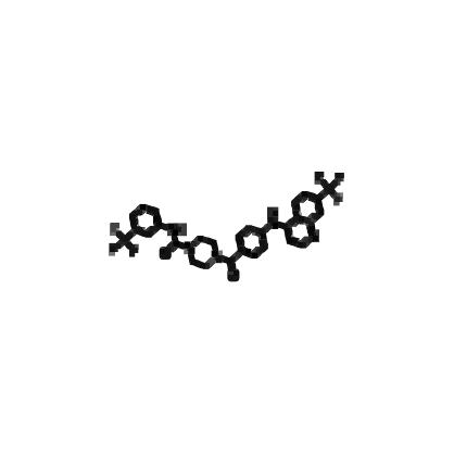 O=C(Nc1cccc(C(F)(F)F)c1)N1CCN(C(=O)c2ccc(Nc3ccnc4cc(C(F)(F)F)ccc34)cc2)CC1